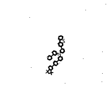 CC1(C)CC(C)(C)c2cc(-c3ccc(-c4cccc(N(c5cccc(-c6ccccc6)c5)c5cccc(-c6ccc7c(c6)sc6ccccc67)c5)c4)cc3)ccc21